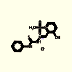 CS(=O)(=O)[n+]1cccc(O)c1/C=N/NC(=S)Nc1ccccc1.[Cl-]